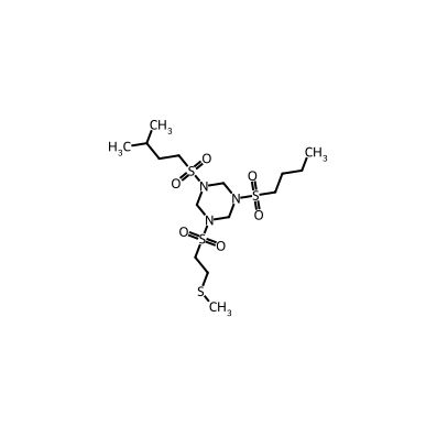 CCCCS(=O)(=O)N1CN(S(=O)(=O)CCSC)CN(S(=O)(=O)CCC(C)C)C1